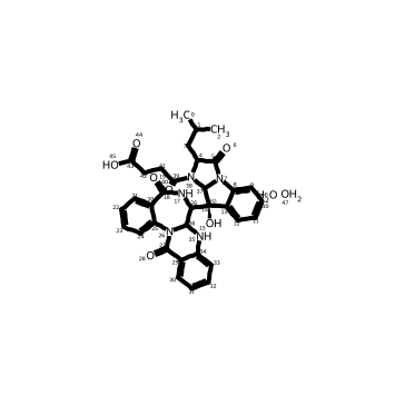 CC(C)CC1C(=O)N2c3ccccc3[C@](O)(C3NC(=O)c4ccccc4N4C(=O)c5ccccc5NC34)C2N1C(=O)CCC(=O)O.O.O